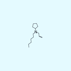 C=CCN(CCCCCC)C1CCCC1